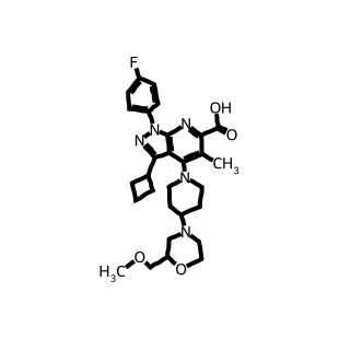 COCC1CN(C2CCN(c3c(C)c(C(=O)O)nc4c3c(C3CCC3)nn4-c3ccc(F)cc3)CC2)CCO1